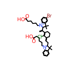 C=C(C1=C(Cl)C(=CCC2N(CCCCCC(=O)O)c3ccccc3C2(C)C)CCC1)C1=[N+](CCCCCC(=O)O)c2ccc(Br)cc2C1(C)C